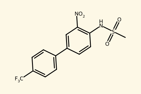 CS(=O)(=O)Nc1ccc(-c2ccc(C(F)(F)F)cc2)cc1[N+](=O)[O-]